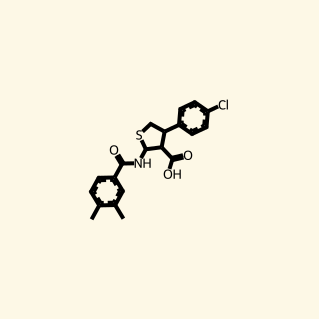 Cc1ccc(C(=O)NC2SCC(c3ccc(Cl)cc3)C2C(=O)O)cc1C